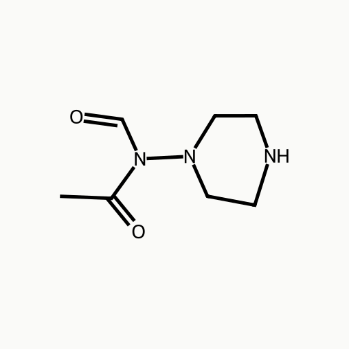 CC(=O)N(C=O)N1CCNCC1